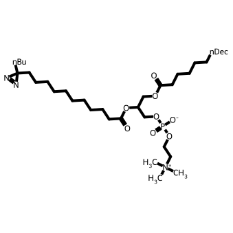 CCCCCCCCCCCCCCCC(=O)OCC(COP(=O)([O-])OCC[N+](C)(C)C)OC(=O)CCCCCCCCCCC1(CCCC)N=N1